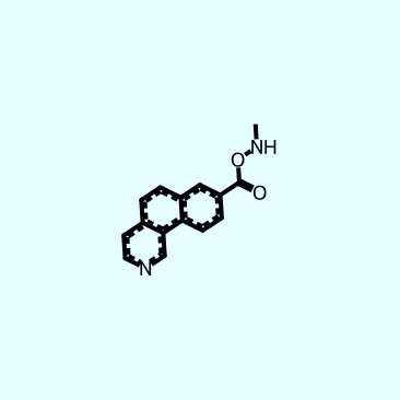 CNOC(=O)c1ccc2c(ccc3ccncc32)c1